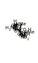 CNc1nc2c(c(N)nc(=O)n2CCN(CCn2c(=O)nc(N)c3c(=O)[nH]c(NC)nc32)C(CCCCN)C(=O)O)c(=O)[nH]1